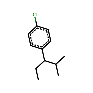 CCC(c1ccc(Cl)cc1)C(C)C